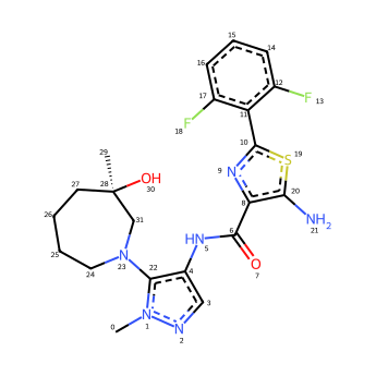 Cn1ncc(NC(=O)c2nc(-c3c(F)cccc3F)sc2N)c1N1CCCC[C@@](C)(O)C1